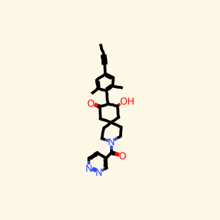 CC#Cc1cc(C)c(C2C(=O)CC3(CCN(C(=O)c4ccnnc4)CC3)CC2O)c(C)c1